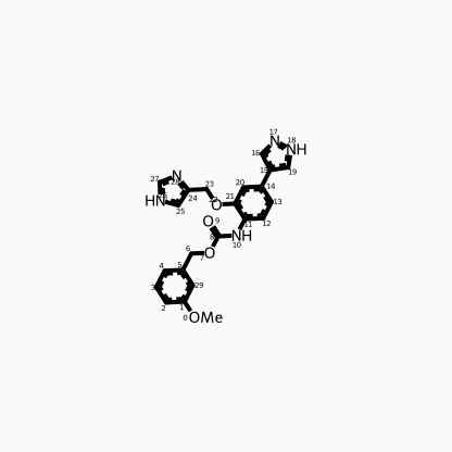 COc1cccc(COC(=O)Nc2ccc(-c3cn[nH]c3)cc2OCc2c[nH]cn2)c1